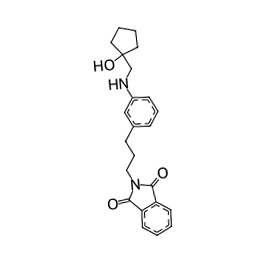 O=C1c2ccccc2C(=O)N1CCCc1cccc(NCC2(O)CCCC2)c1